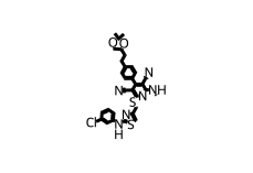 CNc1nc(SCc2csc(Nc3cccc(Cl)c3)n2)c(C#N)c(-c2ccc(CCC3COC(C)(C)O3)cc2)c1C#N